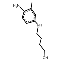 Cc1cc(NCCCCO)ccc1N